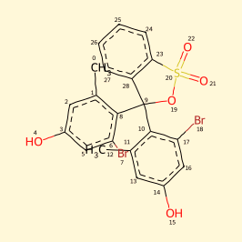 Cc1cc(O)cc(Br)c1C1(c2c(C)cc(O)cc2Br)OS(=O)(=O)c2ccccc21